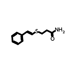 NC(=O)CCSC=Cc1ccccc1